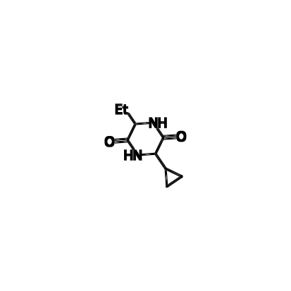 CCC1NC(=O)C(C2CC2)NC1=O